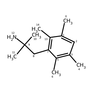 Cc1cc(C)c(C)c(CC(C)(C)N)c1C